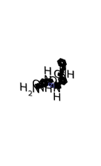 NC(=O)Nc1ccc2c(c1)/C(=C/c1cc(-c3cccc(C(=O)NCCN4CCCCC4)c3)c[nH]1)C(=O)N2